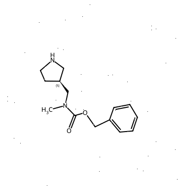 CN(C[C@H]1CCNC1)C(=O)OCc1ccccc1